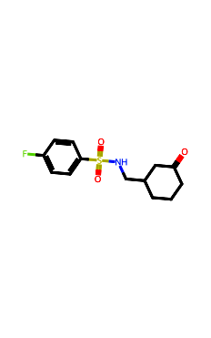 O=C1CCCC(CNS(=O)(=O)c2ccc(F)cc2)C1